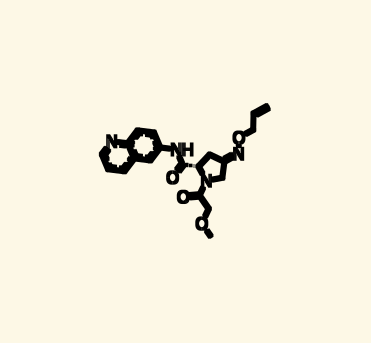 C=CCO/N=C1\C[C@@H](C(=O)Nc2ccc3ncccc3c2)N(C(=O)COC)C1